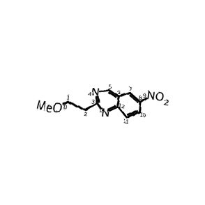 COCCc1ncc2cc([N+](=O)[O-])ccc2n1